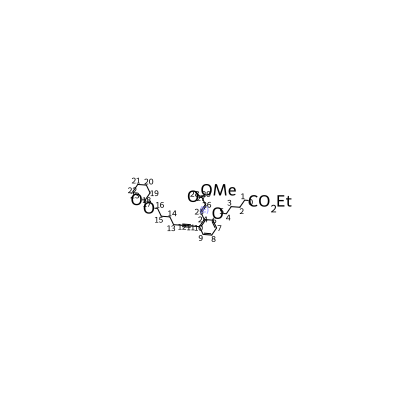 CCOC(=O)CCCCOc1cccc(C#CCCCCOC2CCCCO2)c1/C=C/C(=O)OC